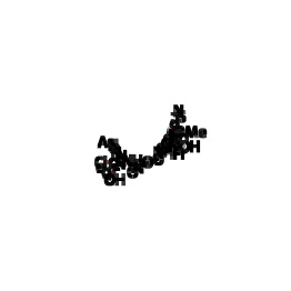 COc1cc(-c2scnc2C)ccc1[C@H](C)NC(=O)[C@@H]1C[C@@H](O)CN1C(=O)[C@H](c1cc(OCCOCCN(C)C(=O)CCNc2nc(N3CCN(C(C)=O)CC3)c3cc(Cl)c(-c4cc(O)cc5ccccc45)c(F)c3n2)no1)C(C)C